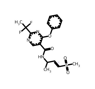 CC(/C=C/S(C)(=O)=O)NC(=O)c1cnc(C(C)(F)F)nc1Oc1ccccc1